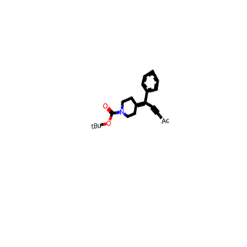 CC(=O)C#CC(=C1CCN(C(=O)OC(C)(C)C)CC1)c1ccccc1